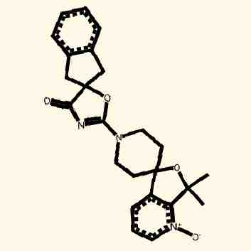 CC1(C)OC2(CCN(C3=NC(=O)C4(Cc5ccccc5C4)O3)CC2)c2ccc[n+]([O-])c21